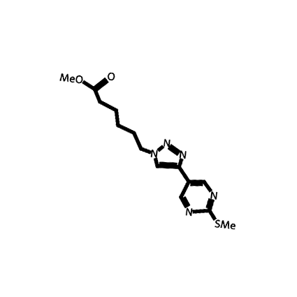 COC(=O)CCCCCn1cc(-c2cnc(SC)nc2)nn1